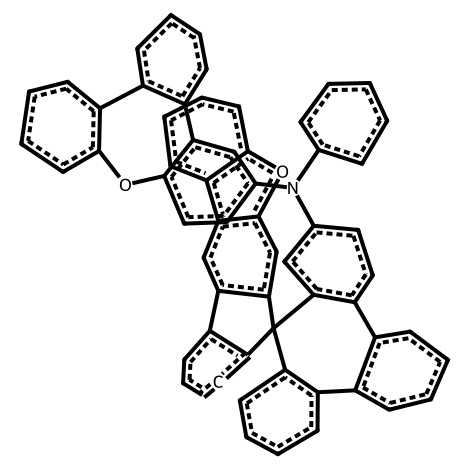 c1ccc(N(c2ccc3c(c2)-c2ccccc2-c2ccccc2O3)c2ccc3c(c2)C2(c4ccccc4-c4ccccc4-3)c3ccccc3-c3cc4c(cc32)oc2ccccc24)cc1